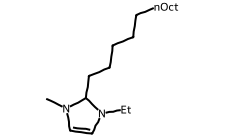 CCCCCCCCCCCCCC1N(C)C=CN1CC